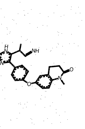 CC(C=N)c1[nH]nnc1-c1ccc(Oc2ccc3c(c2)CCC(=O)N3C)cc1